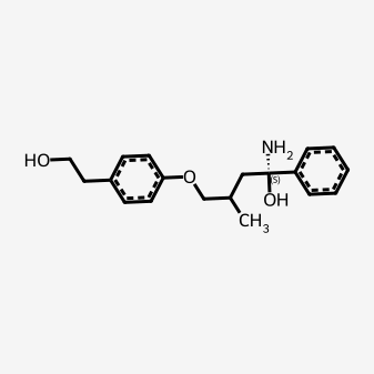 CC(COc1ccc(CCO)cc1)C[C@](N)(O)c1ccccc1